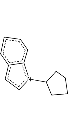 c1ccc2c(c1)ccn2C1CCCC1